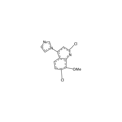 COc1c(Cl)ccc2c(-n3ccnc3)cc(Cl)nc12